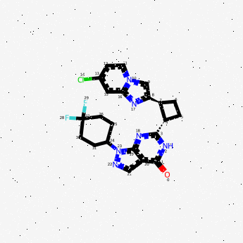 O=c1[nH]c([C@H]2CC[C@@H]2c2cn3ccc(Cl)cc3n2)nc2c1cnn2C1CCC(F)(F)CC1